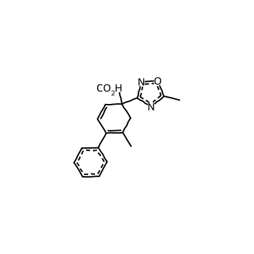 CC1=C(c2ccccc2)C=CC(C(=O)O)(c2noc(C)n2)C1